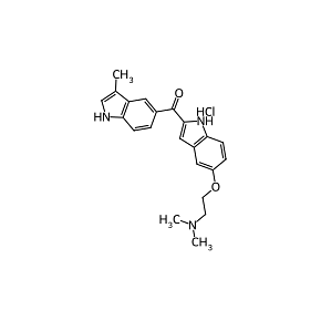 Cc1c[nH]c2ccc(C(=O)c3cc4cc(OCCN(C)C)ccc4[nH]3)cc12.Cl